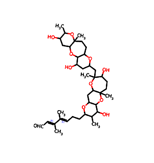 CC(=C\C=O)/C(C)=C/CCC1OC2CC3OC(C)(CC4CC(O)C5OC6CC(O)C(C)OC6(C)CCC5O4)C(O)CCC3(C)OC2C(O)C1C